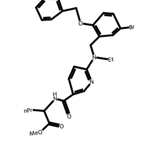 CCCC(NC(=O)c1ccc(N(CC)Cc2cc(Br)ccc2OCc2ccccc2)nc1)C(=O)OC